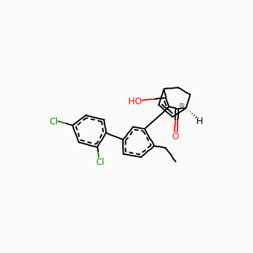 CCc1ccc(-c2ccc(Cl)cc2Cl)cc1C1=C(O)C2C=C[C@H](CC2)C1=O